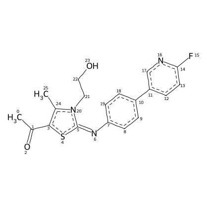 CC(=O)c1sc(=Nc2ccc(-c3ccc(F)nc3)cc2)n(CCO)c1C